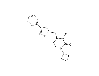 O=C1C(=O)N(C2CCC2)CCN1Cc1nnc(-c2ccccn2)s1